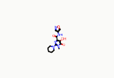 Cn1c(N2CCCCC2)nc(C(=O)Nc2cnoc2)c(O)c1=O